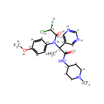 C[C@@](C(=O)NC1CCN(C(F)(F)F)CC1)(c1cncnc1)N(C(=O)[C@H](F)Cl)c1ccc(OC(F)(F)F)cc1